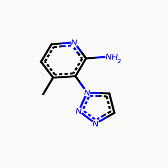 Cc1ccnc(N)c1-n1ccnn1